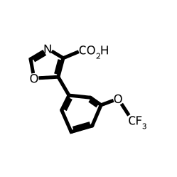 O=C(O)c1ncoc1-c1cccc(OC(F)(F)F)c1